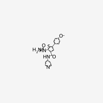 COc1ccc(-c2cc(C(=O)Nc3ccncc3)c(NC(N)=O)s2)cc1